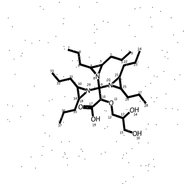 CCCC1C(CCC)N1C(C(OCC(O)CO)C(=O)O)(N1C(CCC)C1CCC)N1C(CCC)C1CCC